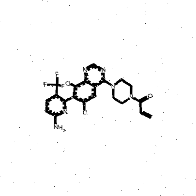 C=CC(=O)N1CCN(c2ncnc3c(Cl)c(-c4nc(N)ccc4C(F)(F)F)c(Cl)cc23)CC1